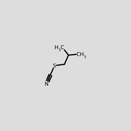 CC(C)CSC#N